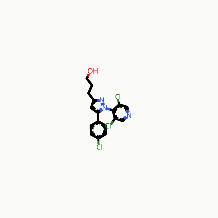 OCCCc1cc(-c2ccc(Cl)cc2)n(-c2c(Cl)cncc2Cl)n1